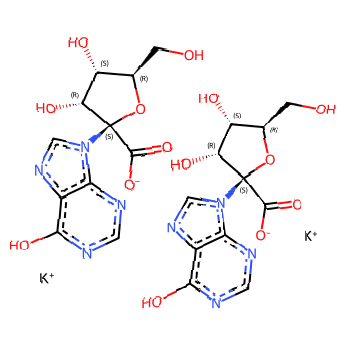 O=C([O-])[C@@]1(n2cnc3c(O)ncnc32)O[C@H](CO)[C@@H](O)[C@H]1O.O=C([O-])[C@@]1(n2cnc3c(O)ncnc32)O[C@H](CO)[C@@H](O)[C@H]1O.[K+].[K+]